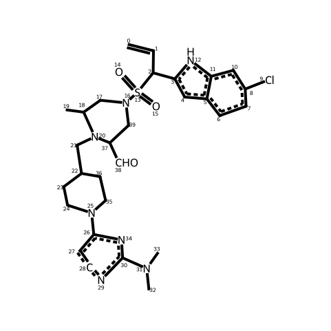 C=CC(c1cc2ccc(Cl)cc2[nH]1)S(=O)(=O)N1CC(C)N(CC2CCN(c3ccnc(N(C)C)n3)CC2)C(C=O)C1